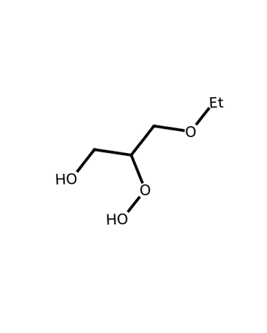 CCOCC(CO)OO